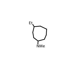 CCC1CCCCC(NC)CC1